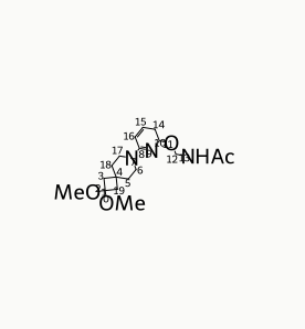 COC1(OC)CC2(CCN(C3=NC(OCNC(C)=O)CC=C3)CC2)C1